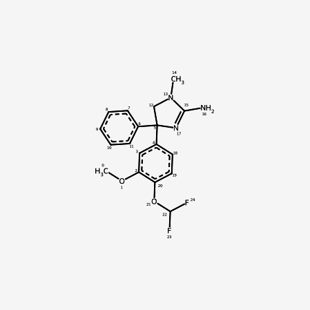 COc1cc(C2(c3ccccc3)CN(C)C(N)=N2)ccc1OC(F)F